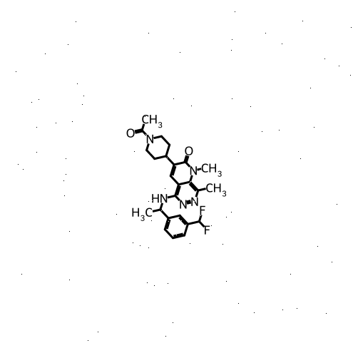 CC(=O)N1CCC(c2cc3c(NC(C)c4cccc(C(F)F)c4)nnc(C)c3n(C)c2=O)CC1